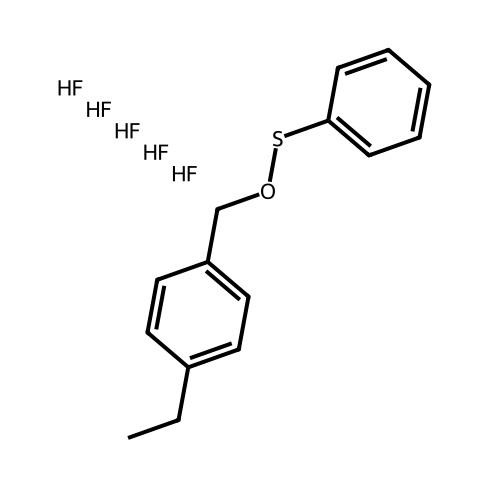 CCc1ccc(COSc2ccccc2)cc1.F.F.F.F.F